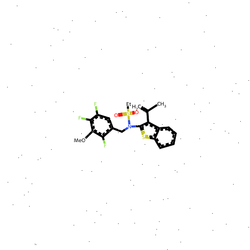 C=C(C)c1c(N(Cc2cc(F)c(F)c(OC)c2F)S(=O)(=O)CC)sc2ccccc12